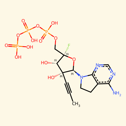 CC#C[C@]1(O)[C@H](N2CCc3c(N)ncnc32)O[C@](F)(COP(=O)(O)OP(=O)(O)OP(=O)(O)O)[C@H]1O